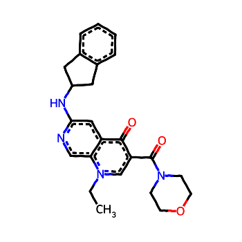 CCn1cc(C(=O)N2CCOCC2)c(=O)c2cc(NC3Cc4ccccc4C3)ncc21